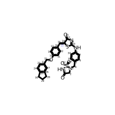 O=C1CN(Cc2ccc(NC3=NC(=O)/C(=C/c4ccc(OCc5ccc6c(c5)CCC6)cc4)S3)cc2)S(=O)(=O)N1